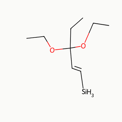 CCOC(C=C[SiH3])(CC)OCC